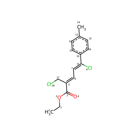 CCOC(=O)C(=CC=C(Cl)c1ccc(C)cc1)CCl